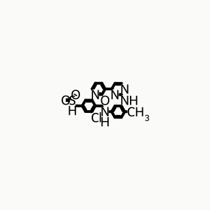 Cc1ccc(NC(=O)c2ccc(C[SH](=O)=O)cc2Cl)cc1Nc1nccc(-c2cccnc2)n1